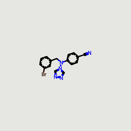 N#Cc1ccc(N(Cc2cccc(Br)c2)n2cnnc2)cc1